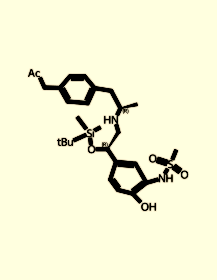 CC(=O)Cc1ccc(C[C@@H](C)NC[C@H](O[Si](C)(C)C(C)(C)C)c2ccc(O)c(NS(C)(=O)=O)c2)cc1